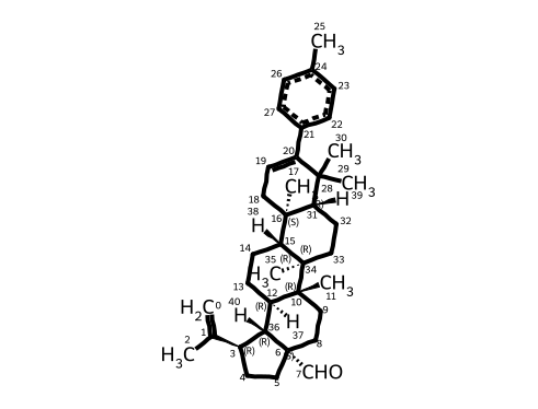 C=C(C)[C@@H]1CC[C@]2(C=O)CC[C@]3(C)[C@H](CC[C@@H]4[C@@]5(C)CC=C(c6ccc(C)cc6)C(C)(C)[C@@H]5CC[C@]43C)[C@@H]12